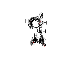 COCC1CC(C)C/C(C)=C\[C@H](C/C=C/C(=O)NCCSSCCOC(=O)N(CCN2CCCCC2)c2ccc(Cn3c(=O)[nH]c4c(N)nc(C(F)(F)F)cc43)cn2)C(=O)CC(O)[C@@H](C)[C@@H](/C(C)=C/[C@@H]2CCCC(OC)C2)OC(=O)C2CCCCN2C(=O)C(=O)C2(O)OC1C(OC)CC2C